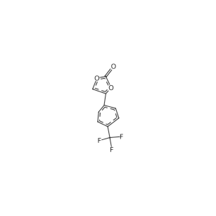 O=c1occ(-c2ccc(C(F)(F)F)cc2)o1